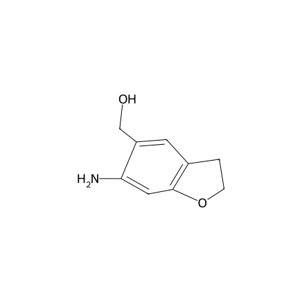 Nc1cc2c(cc1CO)CCO2